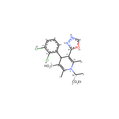 CCOC(=O)[C@@H](C)N1C(C)=C(C(=O)O)C(c2cccc(Cl)c2Cl)C(c2nnco2)=C1C